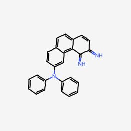 N=C1C=Cc2ccc3ccc(N(c4ccccc4)c4ccccc4)cc3c2C1=N